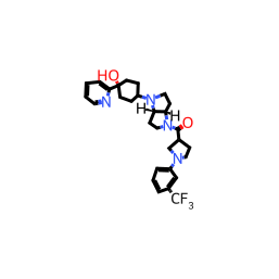 O=C(C1CCN(c2cccc(C(F)(F)F)c2)C1)N1CC[C@H]2[C@@H]1CCN2C1CCC(O)(c2ccccn2)CC1